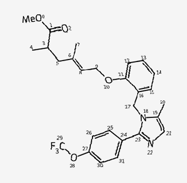 COC(=O)C(C)C/C(C)=C/COc1ccccc1Cn1c(C)cnc1-c1ccc(OC(F)(F)F)cc1